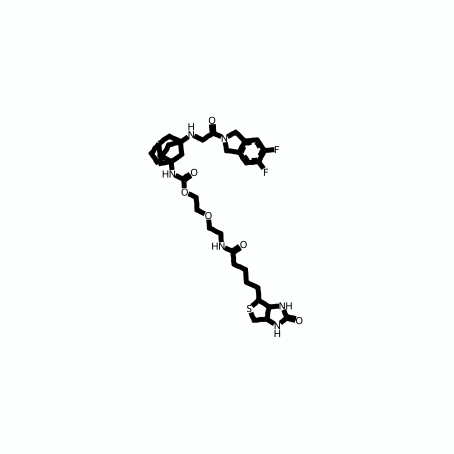 O=C(CCCCC1SCC2NC(=O)NC21)NCCOCCOC(=O)NC12CC3CC1CC(NCC(=O)N1Cc4cc(F)c(F)cc4C1)(C3)C2